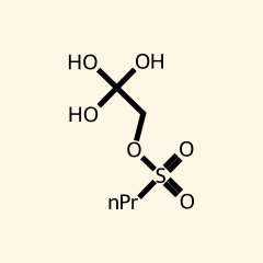 CCCS(=O)(=O)OCC(O)(O)O